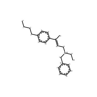 CCCCc1ccc(/C(C)=C/CN(CC)Cc2ccccc2)cc1